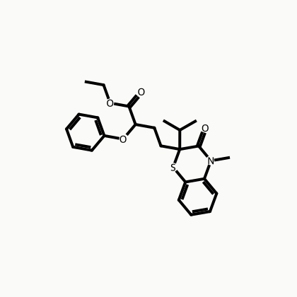 CCOC(=O)C(CCC1(C(C)C)Sc2ccccc2N(C)C1=O)Oc1ccccc1